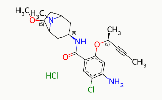 CC#C[C@H](C)Oc1cc(N)c(Cl)cc1C(=O)N[C@@H]1CC2C[C@H](OC)C(C1)N2C.Cl